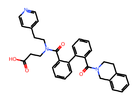 O=C(O)CCN(CCc1ccncc1)C(=O)c1ccccc1-c1ccccc1C(=O)N1CCc2ccccc2C1